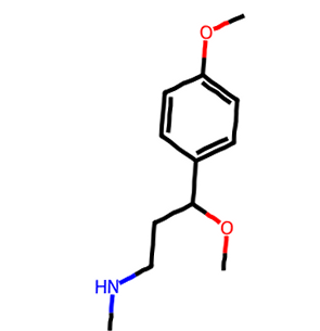 CNCCC(OC)c1ccc(OC)cc1